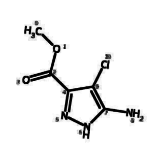 COC(=O)c1n[nH]c(N)c1Cl